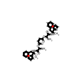 CC(Cc1ccccc1)(NC(=O)C(N)OC(=O)/C=C\C(=O)OC(N)C(=O)NC(C)(Cc1ccccc1)c1cccs1)c1cccs1